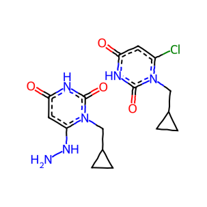 NNc1cc(=O)[nH]c(=O)n1CC1CC1.O=c1cc(Cl)n(CC2CC2)c(=O)[nH]1